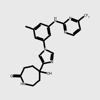 Cc1cc(Nc2nccc(C(F)(F)F)n2)cc(-n2cnc(C3(O)CCNC(=O)CC3)c2)c1